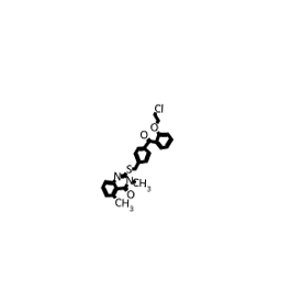 Cc1cccc2nc(SCc3ccc(C(=O)c4ccccc4OCCCl)cc3)n(C)c(=O)c12